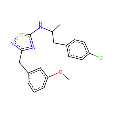 COc1cccc(Cc2nsc(NC(C)Cc3ccc(Cl)cc3)n2)c1